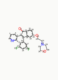 O=C1C(c2cccnc2)=C(c2cc(F)cc(F)c2)c2cc(OCCN3CCOCC3)ccc21